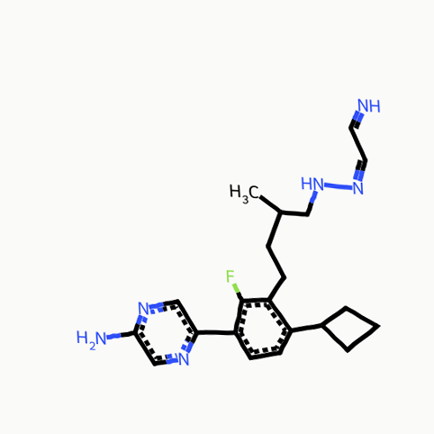 CC(CCc1c(C2CCC2)ccc(-c2cnc(N)cn2)c1F)CN/N=C\C=N